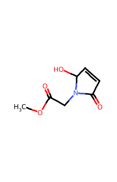 COC(=O)CN1C(=O)C=CC1O